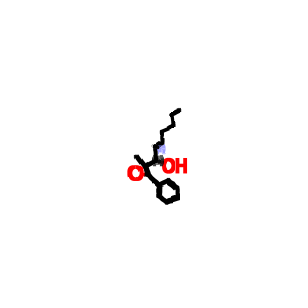 CCCC/C=C/[C@H](O)C1(C)OC1c1ccccc1